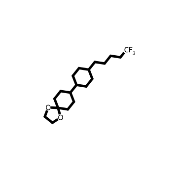 FC(F)(F)CCCCC1CCC(C2CCC3(CC2)OCCO3)CC1